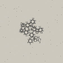 CC1(C)c2ccccc2-c2ccc(-c3nc(-n4c5ccccc5c5ccc6c(c54)Sc4ccccc4C64c5ccccc5-c5ccccc54)nc4c3oc3ccccc34)cc21